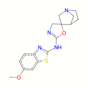 COc1ccc2nc(NC3=NCC4(CN5CCC4C5)O3)sc2c1